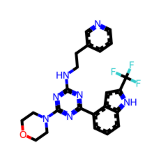 FC(F)(F)c1cc2c(-c3nc(NCCc4cccnc4)nc(N4CCOCC4)n3)cccc2[nH]1